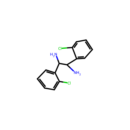 NC(c1ccccc1Cl)C(N)c1ccccc1Cl